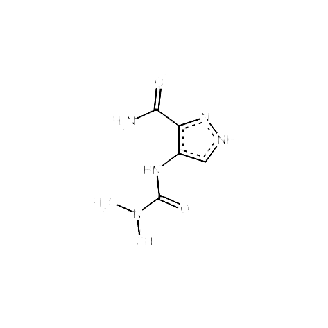 CN(C)C(=O)Nc1c[nH]nc1C(N)=O